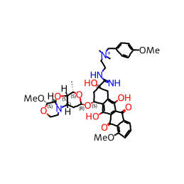 COc1ccc(C[N+](C)(C)CCNC(=N)[C@]2(O)Cc3c(O)c4c(c(O)c3[C@@H](O[C@H]3C[C@H]5[C@H](O[C@@H]6[C@@H](OC)OCCN65)[C@H](C)O3)C2)C(=O)c2c(OC)cccc2C4=O)cc1